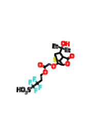 CCC(O)(CC)C1C2SC3C(OC(=O)C31)C2OCC(=O)OCCC(F)(F)C(F)(F)S(=O)(=O)O